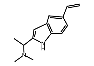 C=Cc1ccc2[nH]c(C(C)N(C)C)cc2c1